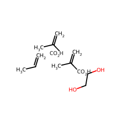 C=C(C)C(=O)O.C=C(C)C(=O)O.C=CC.OCCO